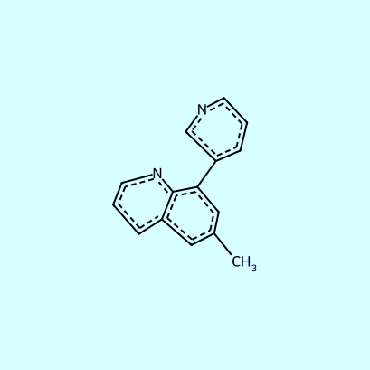 Cc1cc(-c2cccnc2)c2ncccc2c1